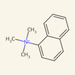 C[N+](C)(C)c1cccc2ccccc12